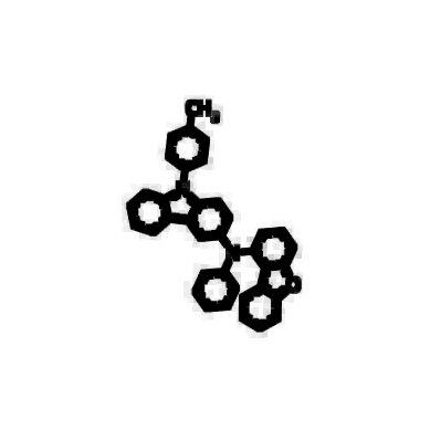 Cc1ccc(-n2c3ccccc3c3cc(N(c4ccccc4)c4cccc5oc6ccccc6c45)ccc32)cc1